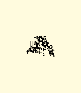 CN1CC(NC(=O)C2CCN(C3C(F)CNCC3NC(=O)c3c(N)nn4c3NCC(F)C4)CC2)C1